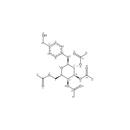 CC(=O)OC[C@H]1O[C@@H](Oc2ccc(CO)cc2)[C@H](OC(C)=O)[C@@H](OC(C)=O)[C@H]1OC(C)=O